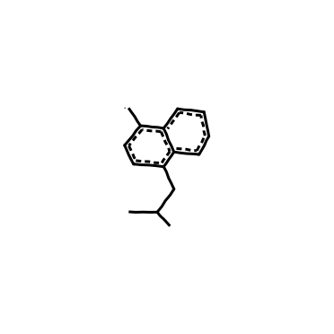 [CH2]c1ccc(CC(C)C)c2ccccc12